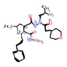 CC(C)C[C@@H](C(=O)NN(CC(C)C)C(=O)CC1CCOCC1)[C@H](CC=Cc1ccccc1)C(=O)NO